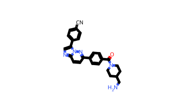 N#Cc1ccc(-c2cnc3ccc(-c4ccc(C(=O)N5CCC(CN)CC5)cc4)nn23)cc1